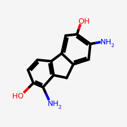 Nc1cc2c(cc1O)-c1ccc(O)c(N)c1C2